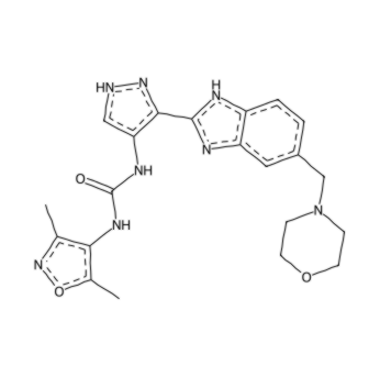 Cc1noc(C)c1NC(=O)Nc1c[nH]nc1-c1nc2cc(CN3CCOCC3)ccc2[nH]1